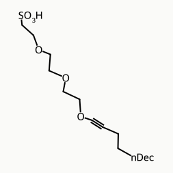 CCCCCCCCCCCCC#COCCOCCOCCS(=O)(=O)O